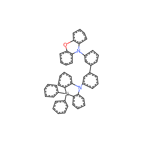 c1ccc([Si]2(c3ccccc3)c3ccccc3N(c3cccc(-c4cccc(N5c6ccccc6Oc6ccccc65)c4)c3)c3ccccc32)cc1